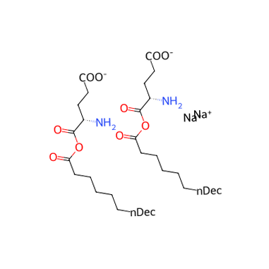 CCCCCCCCCCCCCCCC(=O)OC(=O)[C@@H](N)CCC(=O)[O-].CCCCCCCCCCCCCCCC(=O)OC(=O)[C@@H](N)CCC(=O)[O-].[Na+].[Na+]